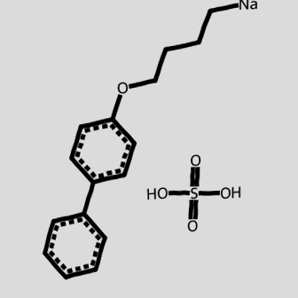 O=S(=O)(O)O.[Na][CH2]CCCOc1ccc(-c2ccccc2)cc1